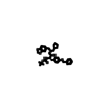 CC(C)(C)OC(=O)N[C@@H](Cc1ccc(OCc2ccccc2)cc1)[C@H](O)CN(Cc1ccc2c(c1)OCO2)CC1CCCC1